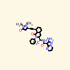 C[C@H](NC(=O)c1c(N)nn2cccnc12)c1cc2cccc(C#Cc3cc(=O)n(C)n3C)c2c(=O)n1-c1ccccc1